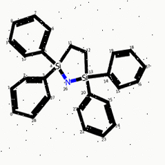 c1ccc([Si]2(c3ccccc3)CC[Si](c3ccccc3)(c3ccccc3)[N]2)cc1